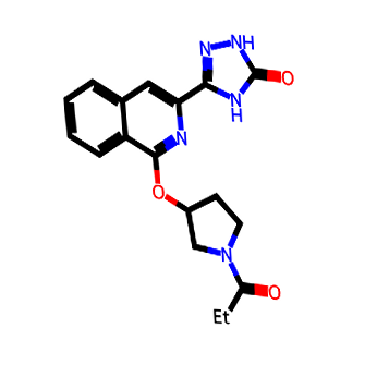 CCC(=O)N1CCC(Oc2nc(-c3n[nH]c(=O)[nH]3)cc3ccccc23)C1